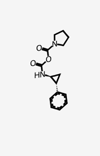 O=C(N[C@H]1C[C@@H]1c1ccccc1)OC(=O)N1CCCC1